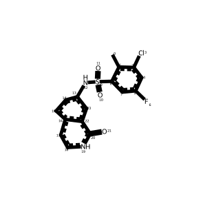 Cc1c(Cl)cc(F)cc1S(=O)(=O)Nc1ccc2cc[nH]c(=O)c2c1